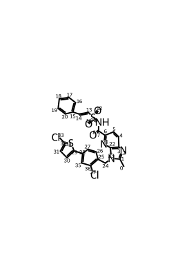 Cc1nc2ccc(C(=O)NS(=O)(=O)C=Cc3ccccc3)nc2n1Cc1ccc(-c2ccc(Cl)s2)cc1Cl